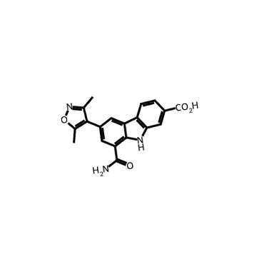 Cc1noc(C)c1-c1cc(C(N)=O)c2[nH]c3cc(C(=O)O)ccc3c2c1